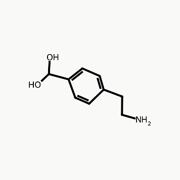 NCCc1ccc(C(O)O)cc1